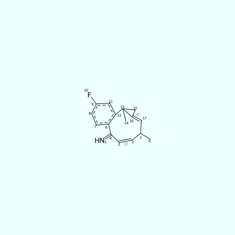 CC1/C=C\C(=N)c2ccc(F)cc2C2(C)C/C2=C\1